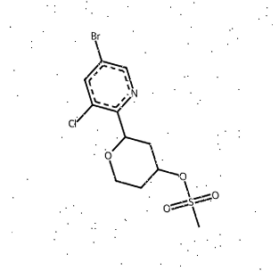 CS(=O)(=O)OC1CCOC(c2ncc(Br)cc2Cl)C1